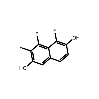 Oc1cc2ccc(O)c(F)c2c(F)c1F